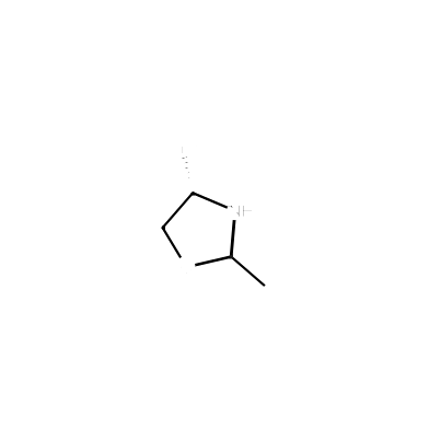 CC1N[C@@H](C(C)C)CO1